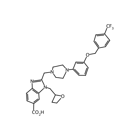 O=C(O)c1ccc2nc(CN3CCN(c4cccc(OCc5ccc(C(F)(F)F)cc5)c4)CC3)n(CC3CCO3)c2c1